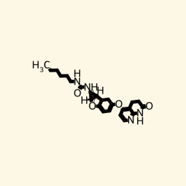 CCCCCCNC(=O)N[C@@H]1[C@H]2OC3=CC=C(Oc4ccnc5c4CCC(=O)N5)CC3[C@@H]12